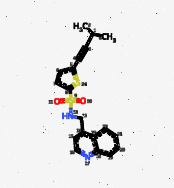 CC(C)C#Cc1ccc(S(=O)(=O)NCc2ccnc3ccccc23)s1